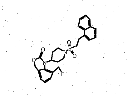 O=C1OCc2cccc(CF)c2N1C1CCN(S(=O)(=O)CCc2cccc3ccccc23)CC1